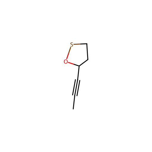 CC#CC1CCSO1